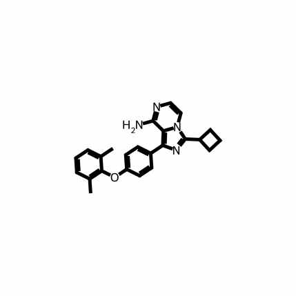 Cc1cccc(C)c1Oc1ccc(-c2nc(C3CCC3)n3ccnc(N)c23)cc1